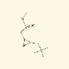 COC(=O)CC1OC1CC(C)(C)C